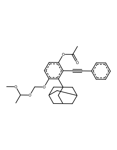 COC(C)OCOc1ccc(OC(C)=O)c(C#Cc2ccccc2)c1C12CC3CC(CC(C3)C1)C2